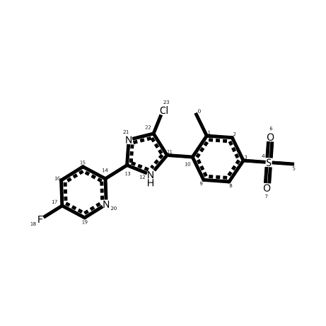 Cc1cc(S(C)(=O)=O)ccc1-c1[nH]c(-c2ccc(F)cn2)nc1Cl